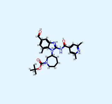 Cc1cc(C(=O)Nc2nc3cc(C=O)cc(C)c3n2C2CCCCN(C(=O)OC(C)(C)C)C2)cc(C)n1